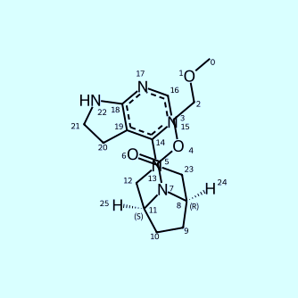 COCCOC(=O)N1[C@@H]2CC[C@H]1CN(c1ncnc3c1CCN3)C2